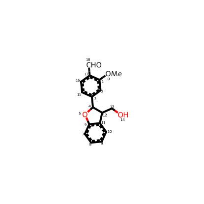 COc1cc(C2Oc3ccccc3C2CO)ccc1C=O